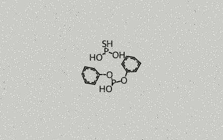 OP(O)S.OP(Oc1ccccc1)Oc1ccccc1